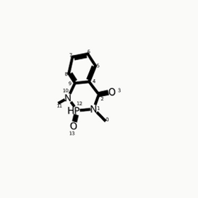 CN1C(=O)c2ccccc2N(C)[PH]1=O